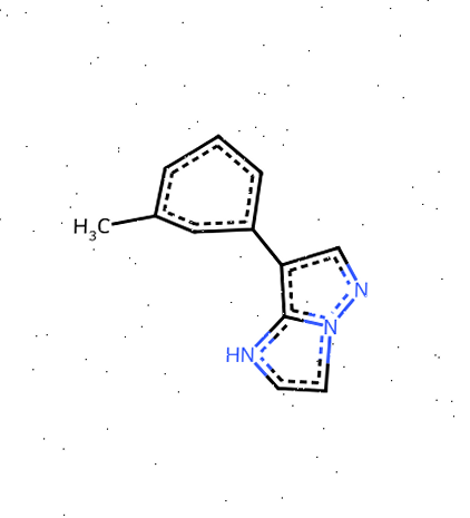 Cc1cccc(-c2cnn3cc[nH]c23)c1